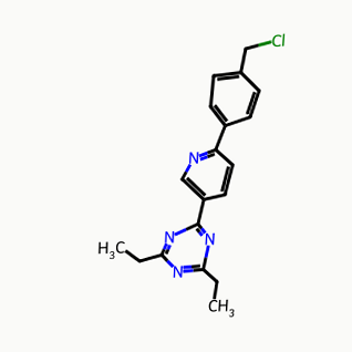 CCc1nc(CC)nc(-c2ccc(-c3ccc(CCl)cc3)nc2)n1